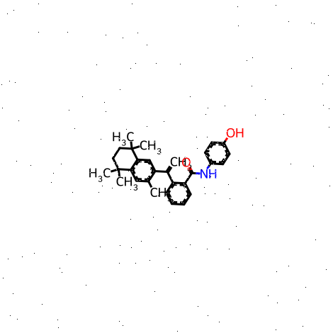 C=C(c1cc2c(cc1C)C(C)(C)CCC2(C)C)c1ccccc1C(=O)Nc1ccc(O)cc1